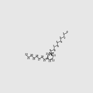 CCCCCCCCCC[n+]1cccc(CCCCCCCC)c1